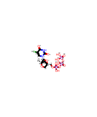 O=c1[nH]c(=O)n([C@@H]2O[C@@]3(COP(=O)(O)OP(=O)(O)OP(=O)(O)O)CO[C@@H]2C3)cc1F